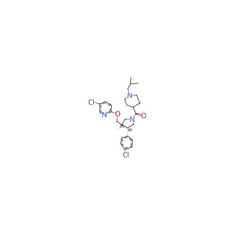 CC(C)CN1CCC(C(=O)N2C[C@H](c3ccc(Cl)cc3)[C@@](C)(COc3ccc(Cl)cn3)C2)CC1